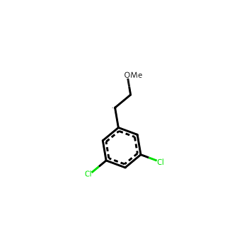 COC[CH]c1cc(Cl)cc(Cl)c1